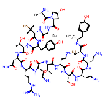 CC[C@H](C)[C@H](NC(=O)[C@@H]1C[C@@H](O)CN1C(=O)[C@@H](N)C(C)C)C(=O)N[C@H](C(=O)N[C@@H](Cc1ccc(O)cc1)C(=O)N[C@H](C(=O)N[C@@H](CC(N)=O)C(=O)N[C@@H](CCCNC(=N)N)C(=O)N[C@H](CCN)C(=O)N[C@H](C(=O)N[C@H](CCN)C(=O)N[C@@H](CO)C(=O)N[C@@H](CCN)C(=O)N[C@@H](CCN)C(=O)N[C@@H](CS)C(=O)N[C@@H](Cc1ccc(O)cc1)C(=O)O)[C@@H](C)O)[C@@H](C)O)C(C)(C)S